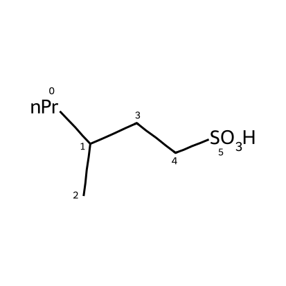 CCCC(C)CCS(=O)(=O)O